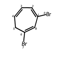 BrC1=CC=CCC(Br)=C1